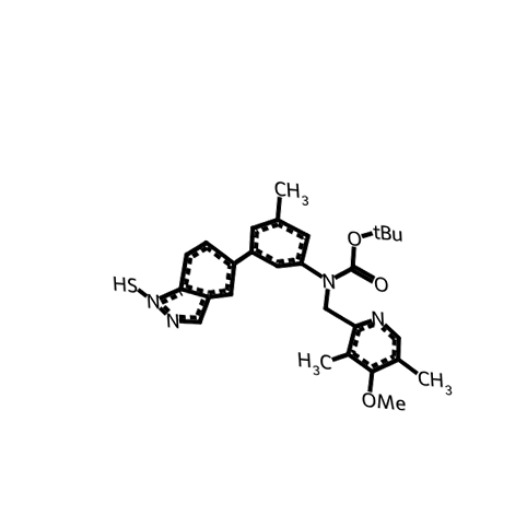 COc1c(C)cnc(CN(C(=O)OC(C)(C)C)c2cc(C)cc(-c3ccc4c(cnn4S)c3)c2)c1C